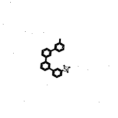 Cc1cccc(-c2cccc(-c3cccc(-c4cccc([Si](C)(C)C)c4)c3)c2)c1